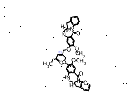 CCC(=O)/C=C(/COc1cc2c(cc1OC)C(=O)N1c3ccccc3C[C@H]1C=N2)COc1cc2c(cc1OC)C(=O)N1c3ccccc3C[C@H]1CN2